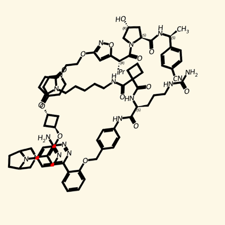 CC(C)[C@@H](C(=O)N1C[C@H](O)C[C@H]1C(=O)N[C@@H](C)c1ccc(C#N)cc1)c1cc(OCCN2CCC(O[C@H]3C[C@H](Oc4cc(N5C6CCC5CN(c5cc(-c7ccccc7OCc7ccc(NC(=O)[C@H](CCCNC(N)=O)NC(=O)C8(C(=O)NCCCCCN9C(=O)CCC9=O)CCC8)cc7)nnc5N)C6)ccn4)C3)CC2)no1